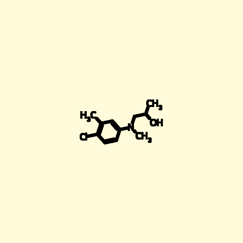 Cc1cc(N(C)CC(C)O)ccc1Cl